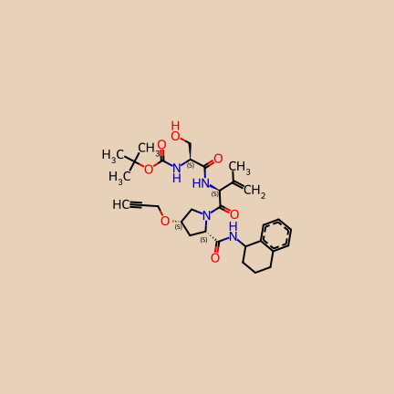 C#CCO[C@H]1C[C@@H](C(=O)NC2CCCc3ccccc32)N(C(=O)[C@@H](NC(=O)[C@H](CO)NC(=O)OC(C)(C)C)C(=C)C)C1